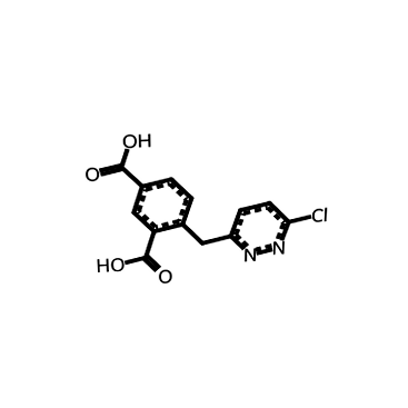 O=C(O)c1ccc(Cc2ccc(Cl)nn2)c(C(=O)O)c1